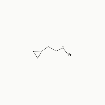 CC(C)OCCC1CC1